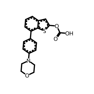 O=C(O)Oc1cc2cccc(-c3ccc(N4CCOCC4)cc3)c2s1